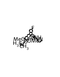 COc1cc(C=C2C(C)=C(CC(=O)NCc3cccnc3)c3cc(F)ccc32)cc(OC)c1OCCN(C)C